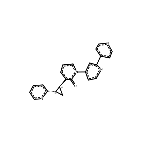 O=c1c([C@H]2C[C@@H]2c2ccccn2)cccn1-c1ccnc(-c2ccncc2)c1